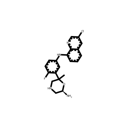 CC1(c2cc(Nc3cccc4cc(Cl)cnc34)ccc2F)CNC[C@H](N)O1